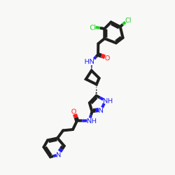 O=C(CCc1cccnc1)Nc1cc([C@H]2C[C@@H](NC(=O)Cc3ccc(Cl)cc3Cl)C2)[nH]n1